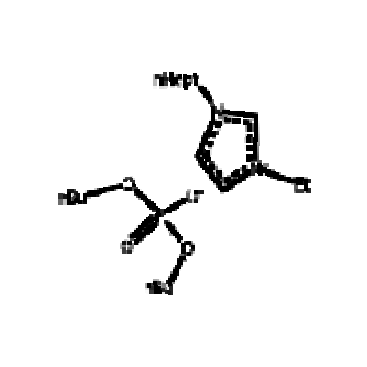 CCCCCCCn1cc[n+](CC)c1.CCCCOP(=O)([O-])OCCCC